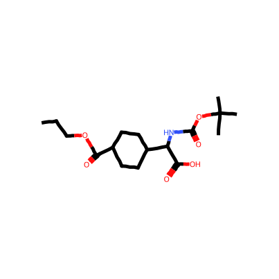 CCCOC(=O)C1CCC(C(NC(=O)OC(C)(C)C)C(=O)O)CC1